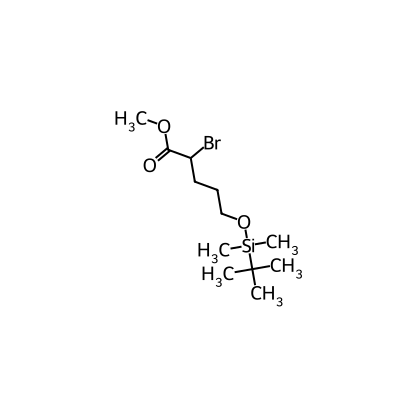 COC(=O)C(Br)CCCO[Si](C)(C)C(C)(C)C